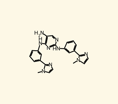 Cn1ccnc1-c1cccc(Nc2ncc(N)c(Nc3cccc(-c4nccn4C)c3)n2)c1